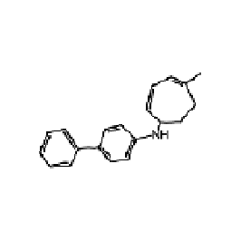 CC1=CC=CC(Nc2ccc(-c3ccccc3)cc2)CC1